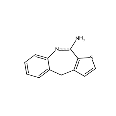 NC1=Nc2ccccc2Cc2ccsc21